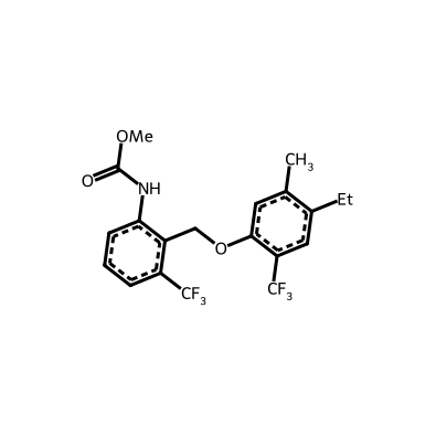 CCc1cc(C(F)(F)F)c(OCc2c(NC(=O)OC)cccc2C(F)(F)F)cc1C